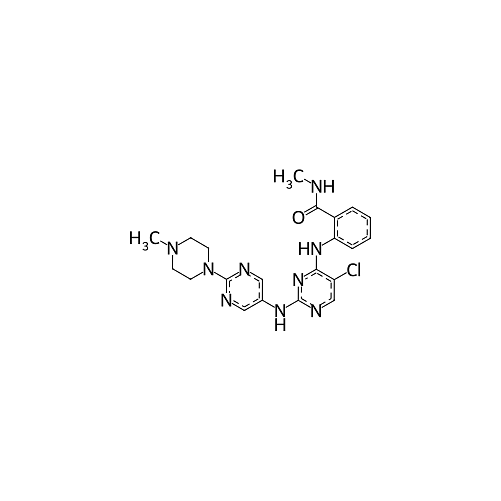 CNC(=O)c1ccccc1Nc1nc(Nc2cnc(N3CCN(C)CC3)nc2)ncc1Cl